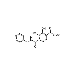 COC(=O)c1ccc(C(=O)NCc2ccncc2)c(O)c1O